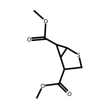 COC(=O)C1CSC2C(C(=O)OC)C12